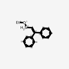 CCO[SiH2]C=C(c1ccccc1)c1ccccc1